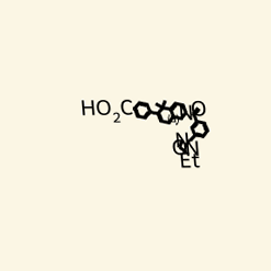 CCc1nc(-c2cccc(C(=O)N3CC=C4C(C)(C)C(c5ccc(C(=O)O)cc5)=CC[C@]4(C)C3)c2)no1